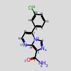 NC(=O)c1ncn2c(-c3cccc(Cl)c3)ccnc12